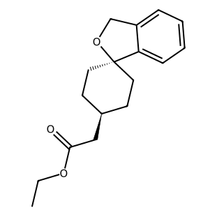 CCOC(=O)C[C@H]1CC[C@]2(CC1)OCc1ccccc12